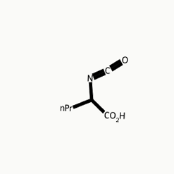 CCCC(N=C=O)C(=O)O